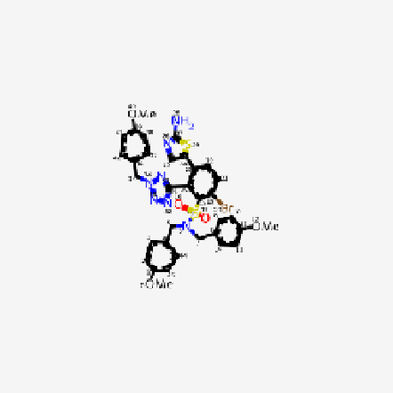 COc1ccc(CN(Cc2ccc(OC)cc2)S(=O)(=O)c2c(Br)ccc(-c3cnc(N)s3)c2-c2nnn(Cc3ccc(OC)cc3)n2)cc1